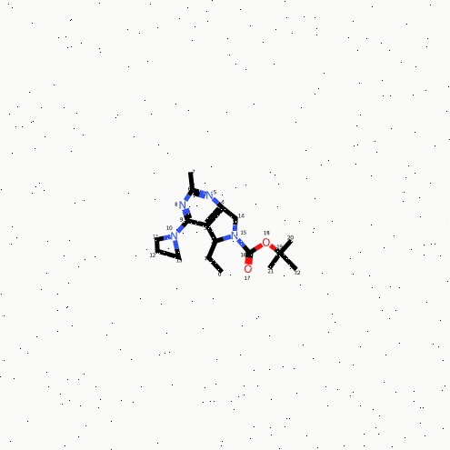 CCC1c2c(nc(C)nc2N2CCC2)CN1C(=O)OC(C)(C)C